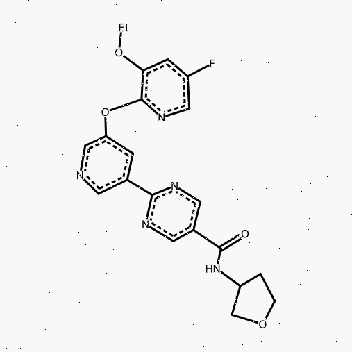 CCOc1cc(F)cnc1Oc1cncc(-c2ncc(C(=O)NC3CCOC3)cn2)c1